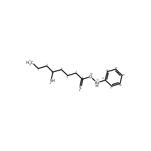 CCCC(S)CCCC(=S)O[AsH]c1ccccc1